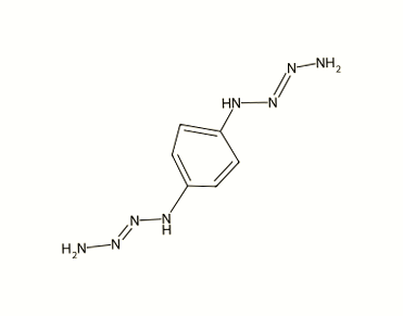 NN=NNc1ccc(NN=NN)cc1